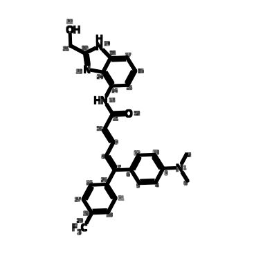 CN(C)c1ccc(/C(=C\C=C\C(=O)Nc2cccc3[nH]c(CO)nc23)c2ccc(C(F)(F)F)cc2)cc1